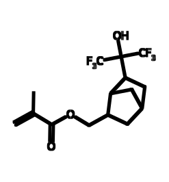 C=C(C)C(=O)OCC1CC2CC1C(C(O)(C(F)(F)F)C(F)(F)F)C2